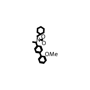 COc1ccccc1-c1ccc(C(C)N2CC3(CCCCC3)OC2=O)cc1